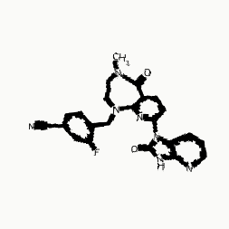 CN1CCN(Cc2ccc(C#N)cc2F)c2nc(-n3c(=O)[nH]c4ncccc43)ccc2C1=O